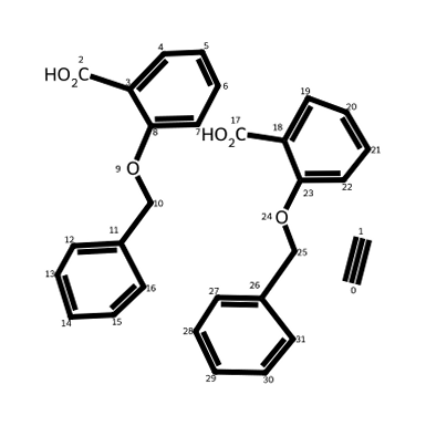 C#C.O=C(O)c1ccccc1OCc1ccccc1.O=C(O)c1ccccc1OCc1ccccc1